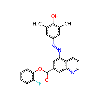 Cc1cc(/N=N/c2cc(C(=O)Oc3ccccc3F)cc3ncccc23)cc(C)c1O